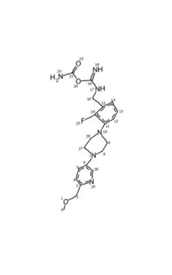 COCc1ccc(N2CCN(c3cccc(CNC(=N)OC(N)=O)c3F)CC2)cn1